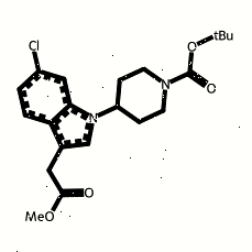 COC(=O)Cc1cn(C2CCN(C(=O)OC(C)(C)C)CC2)c2cc(Cl)ccc12